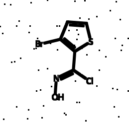 O/N=C(\Cl)c1sccc1Br